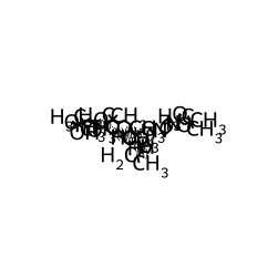 C=C(C)[C@@H]1CC[C@]2(CC(=O)N3CC4CC3CN4C(=O)OC(C)(C)C)CC[C@]3(C)[C@H](CC[C@@H]4[C@@]5(C)CC[C@H](OC(=O)CC(C)(C)C(=O)O)C(C)(C)C5CC[C@]43C)[C@@H]12